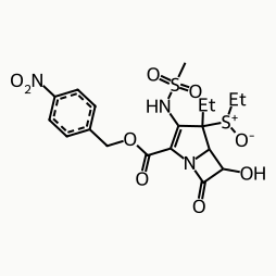 CC[S+]([O-])C1(CC)C(NS(C)(=O)=O)=C(C(=O)OCc2ccc([N+](=O)[O-])cc2)N2C(=O)C(O)C21